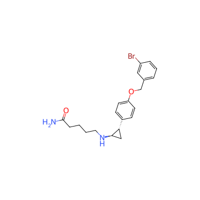 NC(=O)CCCCN[C@@H]1C[C@H]1c1ccc(OCc2cccc(Br)c2)cc1